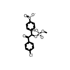 COP(=O)(O)OC(C(=O)c1ccc(Cl)cc1)c1ccc([N+](=O)[O-])cc1